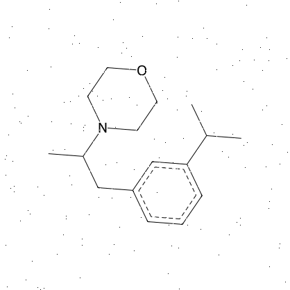 CC(C)c1cccc(CC(C)N2CCOCC2)c1